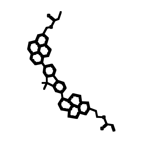 C=CC(=O)OCCc1cc2ccc3ccc(-c4ccc5c(c4)C(C)(C)c4cc(-c6ccc7ccc8cc(COC(=O)CC)cc9ccc6c7c89)ccc4-5)c4ccc(c1)c2c34